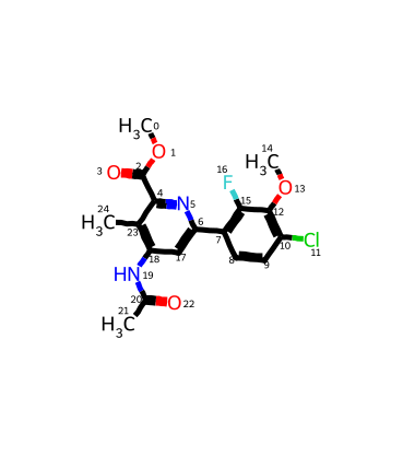 COC(=O)c1nc(-c2ccc(Cl)c(OC)c2F)cc(NC(C)=O)c1C